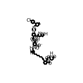 CC1(C)CCC(CN2CCN(c3ccc(C(=O)NS(=O)(=O)c4ccc(NCc5cn(CCCCCCC#Cc6cccc7c6C(=O)N(C6CCC(=O)NC6=O)C7=O)nn5)c([N+](=O)[O-])c4)c(Oc4cnc5[nH]ccc5c4)c3)CC2)=C(c2ccc(Cl)cc2)C1